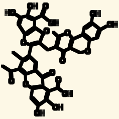 CC(=O)c1c(C)c(-c2oc3cc(O)c(O)c(C(=O)O)c3c(=O)c2Cc2c(C)oc3c(c2=O)COc2cc(O)c(O)cc2-3)cc2c(=O)c3c(C(=O)O)c(O)c(O)cc3oc12